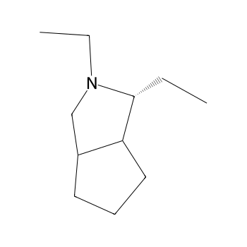 CC[C@@H]1C2CCCC2CN1CC